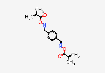 C=C(C)C(=O)ON=Cc1ccc(C=NOC(=O)C(=C)C)cc1